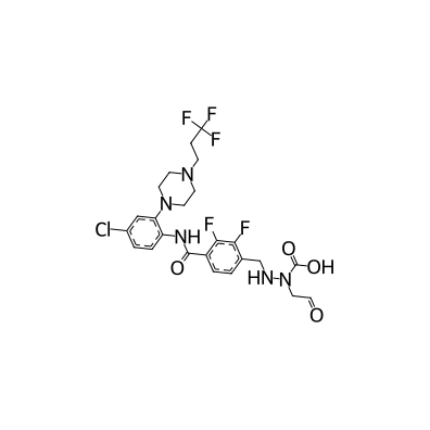 O=CCN(NCc1ccc(C(=O)Nc2ccc(Cl)cc2N2CCN(CCC(F)(F)F)CC2)c(F)c1F)C(=O)O